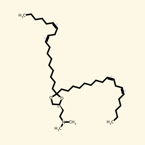 CCCCC/C=C\C/C=C\CCCCCCCCC1(CCCCCCCC/C=C\C/C=C\CCCCC)OC[C@H](CCN(C)C)O1